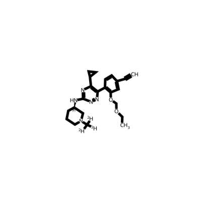 [2H]C([2H])([2H])N1CCC[C@@H](Nc2nnc(-c3ccc(C#C)cc3OCOCC)c(C3CC3)n2)C1